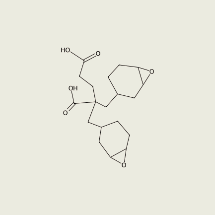 O=C(O)CCC(CC1CCC2OC2C1)(CC1CCC2OC2C1)C(=O)O